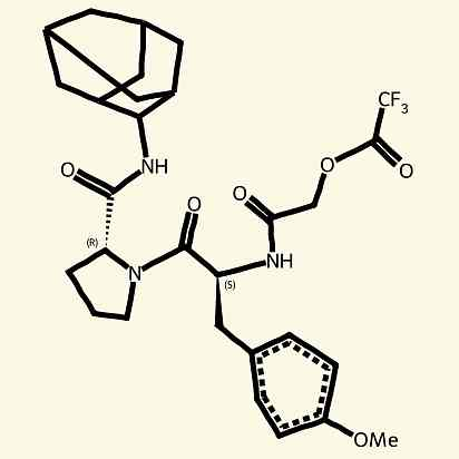 COc1ccc(C[C@H](NC(=O)COC(=O)C(F)(F)F)C(=O)N2CCC[C@@H]2C(=O)NC2C3CC4CC(C3)CC2C4)cc1